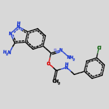 C=C(NCc1cccc(Cl)c1)O/C(=N\N)c1ccc2[nH]nc(N)c2c1